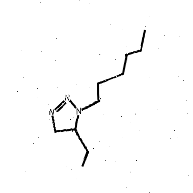 CCCCCCN1N=NCC1CC